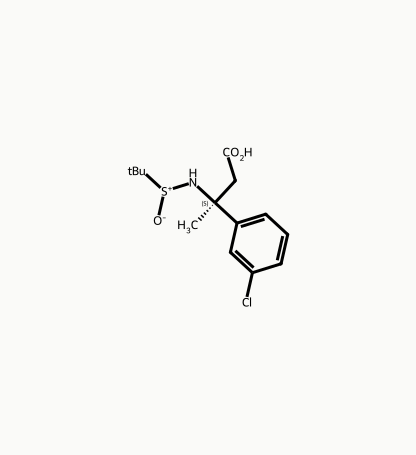 CC(C)(C)[S+]([O-])N[C@@](C)(CC(=O)O)c1cccc(Cl)c1